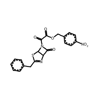 O=C(OCc1ccc([N+](=O)[O-])cc1)C(=O)N1C(=O)C2N=C(Cc3ccccc3)SC21